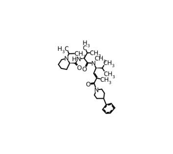 C/C(=C\[C@H](C(C)C)N(C)C(=O)[C@@H](NC(=O)[C@H]1CCCCN1C(C)C)C(C)C)C(=O)N1CCC(c2ccccc2)CC1